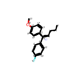 CCC/C=C(/c1ccc(F)cc1)c1ccc(OC)cc1